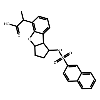 CC(C(=O)O)c1cccc2c1OC1CCC(NS(=O)(=O)c3ccc4ccccc4c3)C21